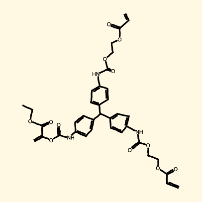 C=CC(=O)OCCOC(=O)Nc1ccc(C(c2ccc(NC(=O)OCCOC(=O)C=C)cc2)c2ccc(NC(=O)OC(=C)C(=O)OCC)cc2)cc1